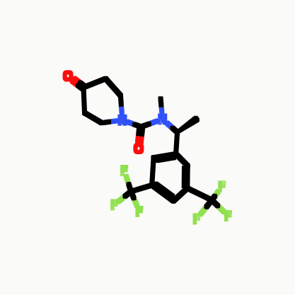 C[C@@H](c1cc(C(F)(F)F)cc(C(F)(F)F)c1)N(C)C(=O)N1CCC(=O)CC1